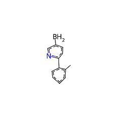 Bc1ccc(-c2ccccc2C)nc1